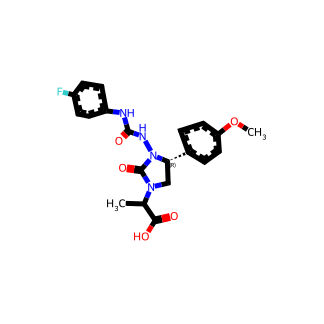 COc1ccc([C@@H]2CN(C(C)C(=O)O)C(=O)N2NC(=O)Nc2ccc(F)cc2)cc1